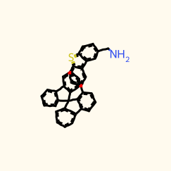 NCc1ccc2sc3ccc(-c4cccc5c4C4(c6ccccc6-c6ccccc64)c4ccccc4-5)cc3c2c1